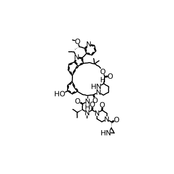 CCn1c(-c2cccnc2[C@H](C)OC)c2c3cc(ccc31)-c1cc(O)cc(c1)C[C@H](NC(=O)[C@H](C(C)C)N(C)C(=O)N1CCN(C(=O)[C@@H]3CN3)CC1=O)C(=O)N1CCC[C@H](N1)C(=O)OCC(C)(C)C2